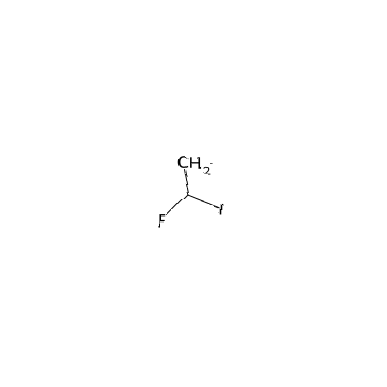 [CH2]C(F)I